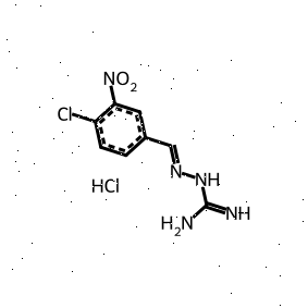 Cl.N=C(N)NN=Cc1ccc(Cl)c([N+](=O)[O-])c1